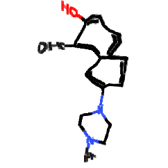 CC(C)N1CCN(c2ccc3ccc(O)c(C=O)c3c2)CC1